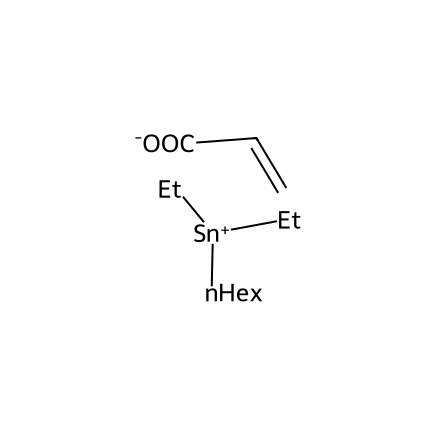 C=CC(=O)[O-].CCCCC[CH2][Sn+]([CH2]C)[CH2]C